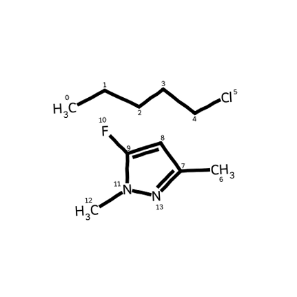 CCCCCCl.Cc1cc(F)n(C)n1